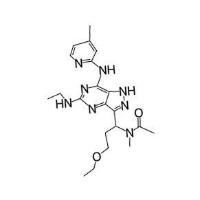 CCNc1nc(Nc2cc(C)ccn2)c2[nH]nc(C(CCOCC)N(C)C(C)=O)c2n1